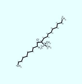 CCCCCCCCCCC(CCCCCCCCC)[N+](C)(C)C.[Cl-]